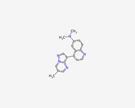 Cc1cnc2c(-c3ccnc4ccc(N(C)C)cc34)cnn2c1